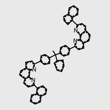 CC(c1ccccc1)(c1ccc(-c2ccc3ccc4ccc(-c5cccc6ccccc56)nc4c3n2)cc1)c1ccc(-c2ccc3ccc4ccc(-c5cccc6ccccc56)nc4c3n2)cc1